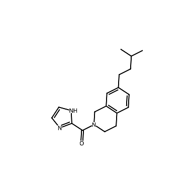 CC(C)CCc1ccc2c(c1)CN(C(=O)c1ncc[nH]1)CC2